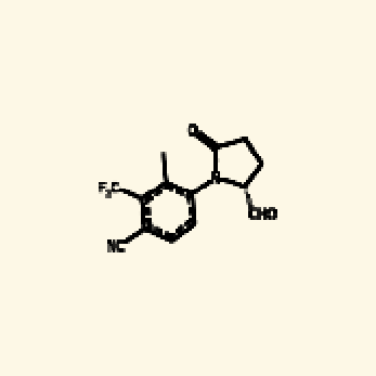 Cc1c(N2C(=O)CC[C@@H]2C=O)ccc(C#N)c1C(F)(F)F